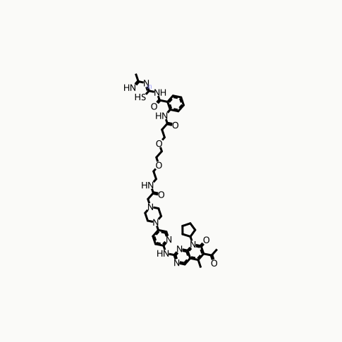 CC(=N)/N=C(\S)NC(=O)c1ccccc1NC(=O)CCOCCOCCNC(=O)CN1CCN(c2ccc(Nc3ncc4c(C)c(C(C)=O)c(=O)n(C5CCCC5)c4n3)nc2)CC1